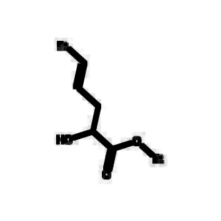 CCC=CCC(O)C(=O)OCC